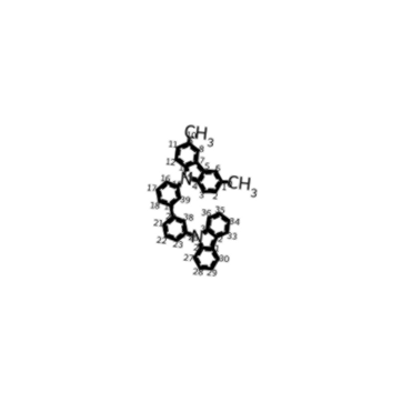 Cc1ccc2c(c1)c1cc(C)ccc1n2-c1cccc(-c2cccc(-n3c4ccccc4c4ccccc43)c2)c1